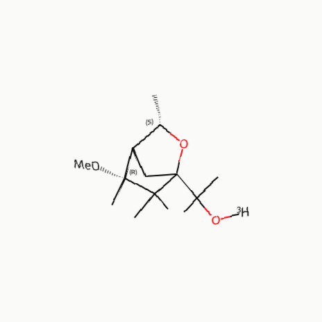 [3H]OC(C)(C)C12CC([C@H](C)O1)[C@@](C)(OC)C2(C)C